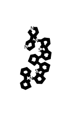 c1ccc(-c2cccc3c2sc2c(-n4c5ccncc5c5cnccc54)cccc23)c(-c2cccc3c2sc2c(-n4c5ccccc5c5ccccc54)cccc23)c1